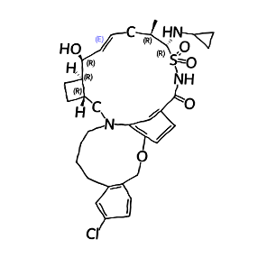 C[C@@H]1C/C=C/[C@H](O)[C@@H]2CC[C@H]2CN2CCCCc3cc(Cl)ccc3COc3ccc(cc32)C(=O)NS(=O)(=O)[C@H]1NC1CC1